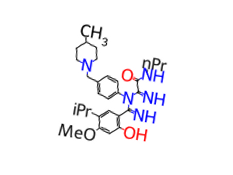 CCCNC(=O)C(=N)N(C(=N)c1cc(C(C)C)c(OC)cc1O)c1ccc(CN2CCC(C)CC2)cc1